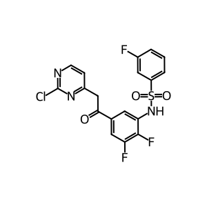 O=C(Cc1ccnc(Cl)n1)c1cc(F)c(F)c(NS(=O)(=O)c2cccc(F)c2)c1